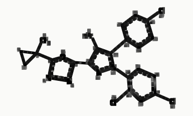 CCCc1c(-c2nnc(C3(C(F)(F)F)CC3)o2)nn(-c2ccc(Cl)cc2Cl)c1-c1ccc(Cl)cc1